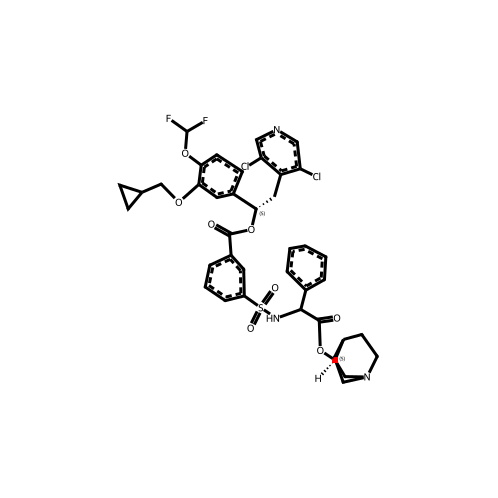 O=C(O[C@@H](Cc1c(Cl)cncc1Cl)c1ccc(OC(F)F)c(OCC2CC2)c1)c1cccc(S(=O)(=O)NC(C(=O)O[C@@H]2CN3CCC2CC3)c2ccccc2)c1